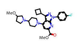 COC(=O)c1cc(N2CCC(N3CCC(OC)C3)CC2)c2c(C3CCC3)nn(-c3ccc(F)cc3)c2n1